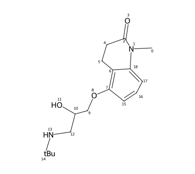 CN1C(=O)CCc2c(OCC(O)CNC(C)(C)C)cccc21